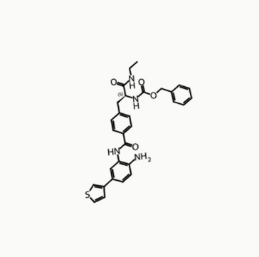 CCNC(=O)[C@H](Cc1ccc(C(=O)Nc2cc(-c3ccsc3)ccc2N)cc1)NC(=O)OCc1ccccc1